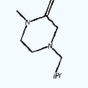 C=C1CN(CC(C)C)CCN1C